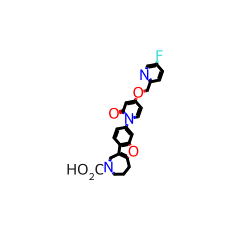 O=C(O)N1CCCc2oc3cc(-n4ccc(OCc5ccc(F)cn5)cc4=O)ccc3c2C1